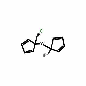 CC(C)[C]1([Y+][C]2(C(C)C)C=CC=C2)C=CC=C1.[Cl-]